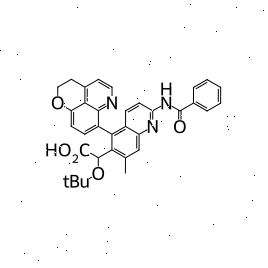 Cc1cc2nc(NC(=O)c3ccccc3)ccc2c(-c2ccc3c4c(ccnc24)CCO3)c1C(OC(C)(C)C)C(=O)O